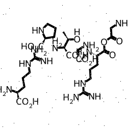 C[C@@H](O)[C@H](N)C(=O)O.N=C(N)NCCC[C@H](N)C(=O)O.N=C(N)NCCC[C@H](N)C(=O)OC(=O)CN.NCC(=O)O.O=C(O)[C@@H]1CCCN1